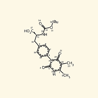 Cc1[nH]c(=O)n(-c2ccc(C[C@H](NC(=O)OC(C)(C)C)C(=O)O)cc2)c(=O)c1C